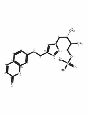 CC(=O)O[C@@H](COP(=O)(O)O)[C@H](Cn1cc(COc2ccc3ccc(=O)oc3c2)nn1)OC(C)=O